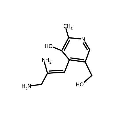 Cc1ncc(CO)c(C=C(N)CN)c1O